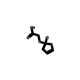 O=C(O)COC1(Cl)CC=CS1